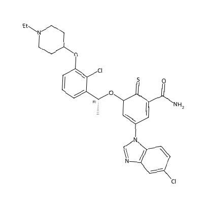 CCN1CCC(Oc2cccc([C@@H](C)OC3C=C(n4cnc5cc(Cl)ccc54)C=C(C(N)=O)C3=S)c2Cl)CC1